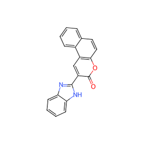 O=c1oc2ccc3ccccc3c2cc1-c1nc2ccccc2[nH]1